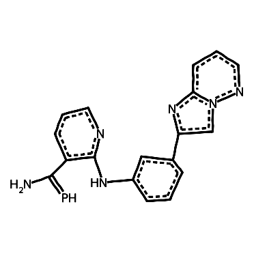 NC(=P)c1cccnc1Nc1cccc(-c2cn3ncccc3n2)c1